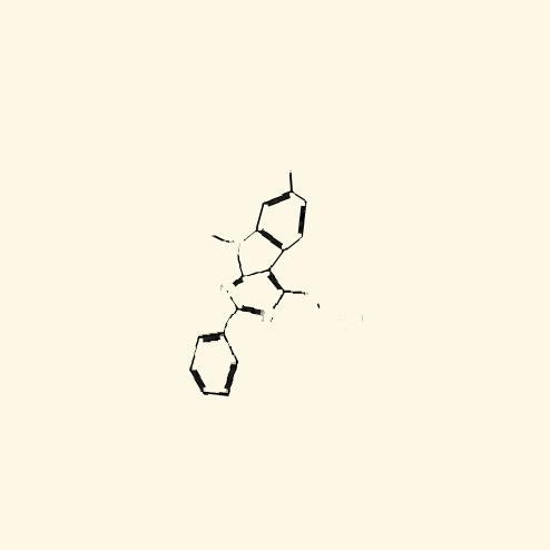 CCOC(=O)Oc1nc(-c2ccccc2)nc2c1c1ccc(Cl)cc1n2C